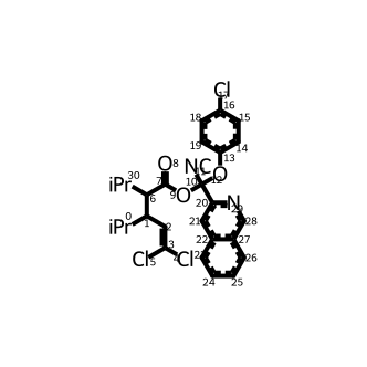 CC(C)C(C=C(Cl)Cl)C(C(=O)OC(C#N)(Oc1ccc(Cl)cc1)c1cc2ccccc2cn1)C(C)C